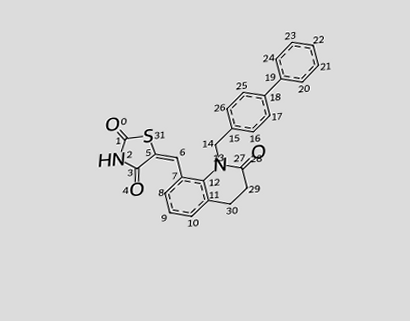 O=C1NC(=O)C(=Cc2cccc3c2N(Cc2ccc(-c4ccccc4)cc2)C(=O)CC3)S1